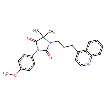 CC1(C)C(=O)N(c2ccc(OC(F)(F)F)cc2)C(=O)N1CCCc1ccnc2ccccc12